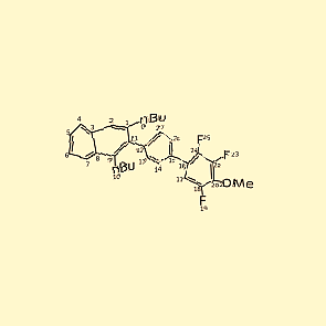 CCCCc1cc2ccccc2c(CCCC)c1-c1ccc(-c2cc(F)c(OC)c(F)c2F)cc1